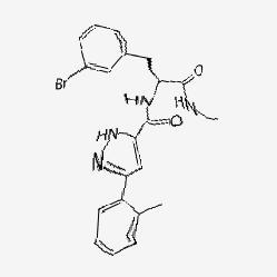 CNC(=O)[C@H](Cc1cccc(Br)c1)NC(=O)c1cc(-c2ccccc2C)n[nH]1